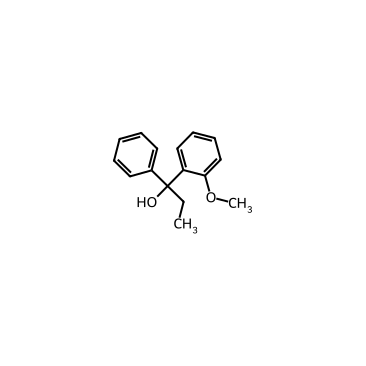 CCC(O)(c1ccccc1)c1ccccc1OC